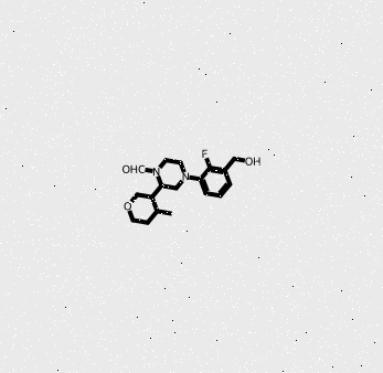 CC1CCOCC1C1CN(c2cccc(CO)c2F)CCN1C=O